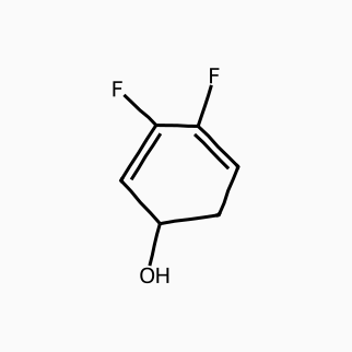 OC1C=C(F)C(F)=CC1